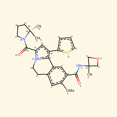 COc1cc2c(cc1C(=O)NC1(C#N)COC1)-c1c(-c3cccs3)cc(C(=O)N3CCC[C@]3(C)C#N)n1CC2